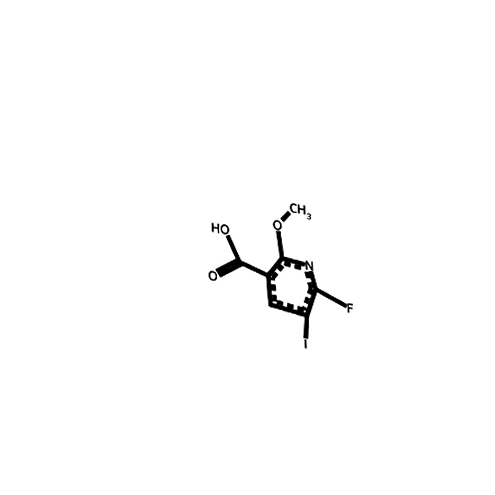 COc1nc(F)c(I)cc1C(=O)O